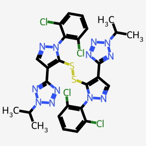 CC(C)n1nnc(-c2cnn(-c3c(Cl)cccc3Cl)c2SSc2c(-c3nnn(C(C)C)n3)cnn2-c2c(Cl)cccc2Cl)n1